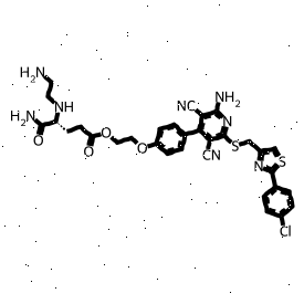 N#Cc1c(N)nc(SCc2csc(-c3ccc(Cl)cc3)n2)c(C#N)c1-c1ccc(OCCOC(=O)CC[C@@H](NCCN)C(N)=O)cc1